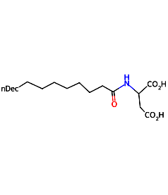 CCCCCCCCCCCCCCCCCC(=O)NC(CC(=O)O)C(=O)O